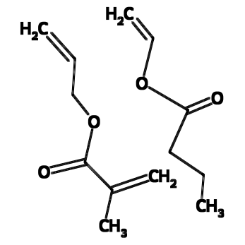 C=CCOC(=O)C(=C)C.C=COC(=O)CCC